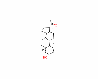 CC(=O)[C@H]1CCC2C3CC[C@H]4C[C@](C)(O)CC[C@]4(C)C3CC[C@@]21C